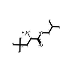 CC(C)COC(=O)[C@@H](N)CC(C)(C)C